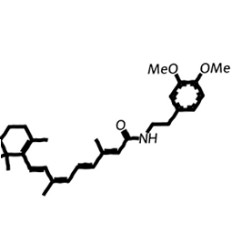 COc1ccc(CCNC(=O)/C=C(C)/C=C/C=C(C)\C=C\C2=C(C)CCCC2(C)C)cc1OC